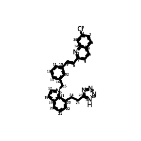 Clc1ccc2ccc(C=Cc3cccc(Cn4ccc5cccc(CCc6nnn[nH]6)c54)c3)nc2c1